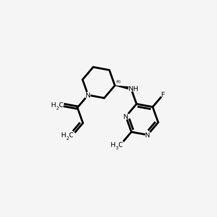 C=CC(=C)N1CCC[C@@H](Nc2nc(C)ncc2F)C1